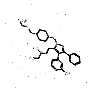 O=C(O)COC[C@H]1CC[C@@H](Cn2nc(-c3ccccc3)c(-c3cccc(O)c3)c2CC[C@H](O)CO)CC1